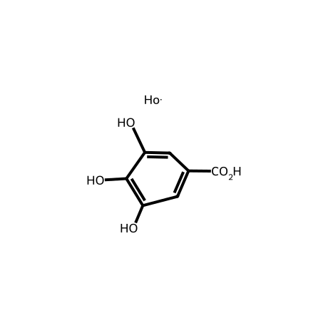 O=C(O)c1cc(O)c(O)c(O)c1.[Ho]